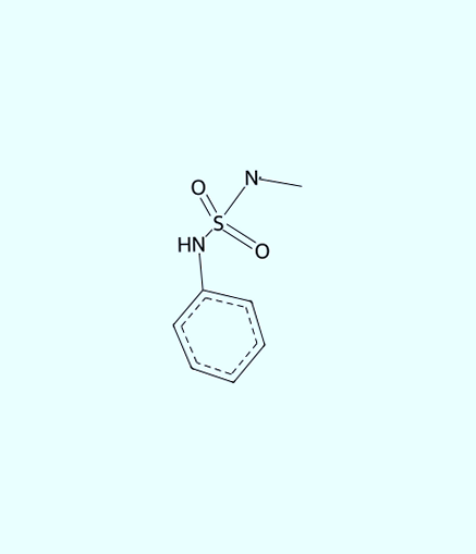 C[N]S(=O)(=O)Nc1ccccc1